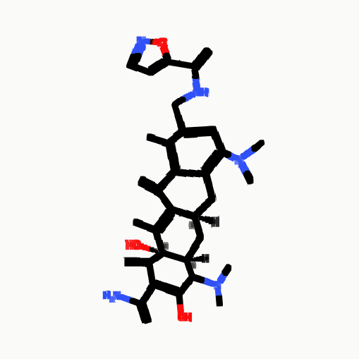 C=C(N)C1=C(O)C(N(C)C)[C@@H]2C[C@@H]3Cc4c(N(C)C)cc(CNC(=C)c5ccno5)c(C)c4C(=C)C3=C(C)[C@]2(O)C1=C